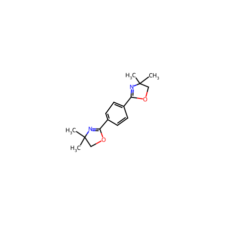 CC1(C)COC(c2ccc(C3=NC(C)(C)CO3)cc2)=N1